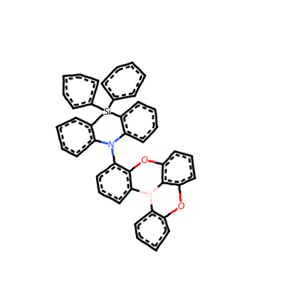 c1ccc([Si]2(c3ccccc3)c3ccccc3N(c3cccc4c3Oc3cccc5c3B4c3ccccc3O5)c3ccccc32)cc1